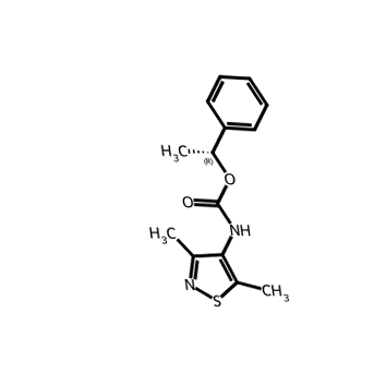 Cc1nsc(C)c1NC(=O)O[C@H](C)c1ccccc1